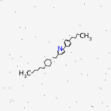 CCCCCC[C@H]1CC[C@H](CCc2ccc(-c3ccc(CCCC)cc3)nc2)CC1